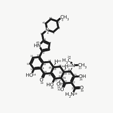 CC1CCN(Cc2ccc(-c3ccc(O)c4c3C[C@H]3C[C@H]5[C@H](N(C)C)C(O)=C(C(N)=O)C(=O)[C@@]5(O)C(O)=C3C4=O)[nH]2)CC1